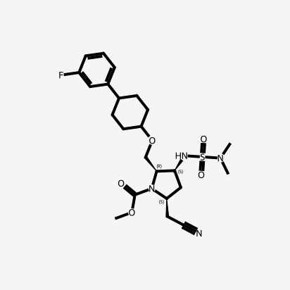 COC(=O)N1[C@H](CC#N)C[C@H](NS(=O)(=O)N(C)C)[C@@H]1COC1CCC(c2cccc(F)c2)CC1